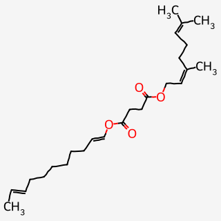 CC=CCCCCCCC=COC(=O)CCC(=O)OCC=C(C)CCC=C(C)C